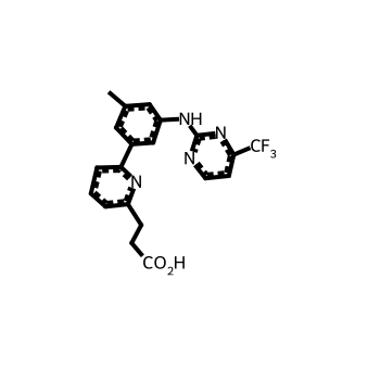 Cc1cc(Nc2nccc(C(F)(F)F)n2)cc(-c2cccc(CCC(=O)O)n2)c1